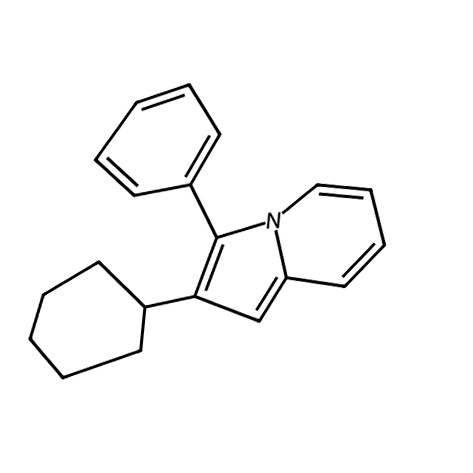 c1ccc(-c2c(C3CCCCC3)cc3ccccn23)cc1